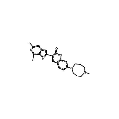 Cc1cn2cc(-c3cc4ccc(N5CCCN(C)CCC5)cc4oc3=O)nc2c(C)n1